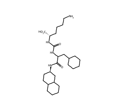 NCCCC[C@H](NC(=O)NC(CC1CCCCC1)C(=O)N[C@@H]1CCC2CCCCC2C1)C(=O)O